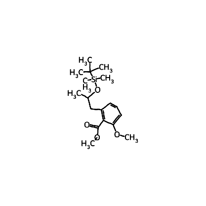 COC(=O)c1c(CC(C)O[Si](C)(C)C(C)(C)C)cccc1OC